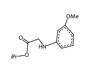 COc1cccc(NCC(=O)OC(C)C)c1